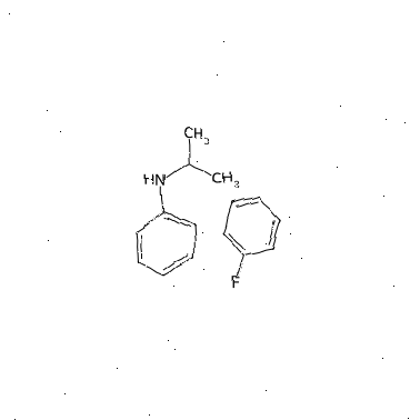 CC(C)Nc1ccccc1.Fc1ccccc1